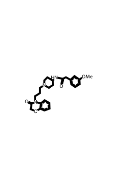 COc1cccc(CC(=O)NC2CCN(CCCN3C(=O)COc4ccccc43)CC2)c1